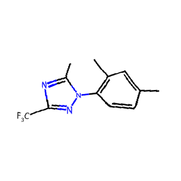 Cc1ccc(-n2nc(C(F)(F)F)nc2C)c(C)c1